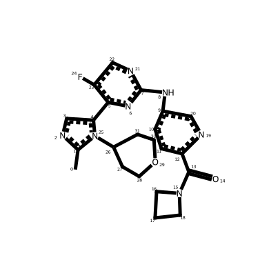 Cc1ncc(-c2nc(Nc3ccc(C(=O)N4CCC4)nc3)ncc2F)n1C1CCOCC1